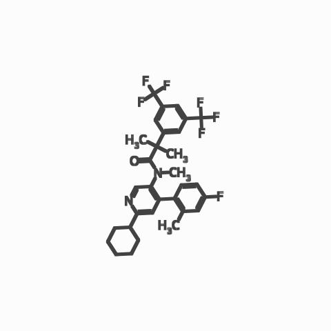 Cc1cc(F)ccc1-c1cc(C2CCCCC2)ncc1N(C)C(=O)C(C)(C)c1cc(C(F)(F)F)cc(C(F)(F)F)c1